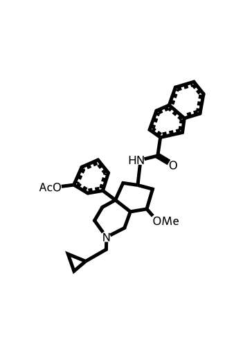 COC1CC(NC(=O)c2ccc3ccccc3c2)CC2(c3cccc(OC(C)=O)c3)CCN(CC3CC3)CC12